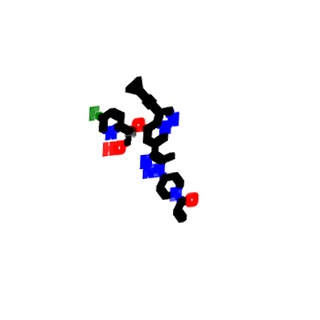 C=CC(=O)N1CCC(n2nnc(-c3cc(O[C@H](CO)c4ccc(F)cn4)c4c(C#CC5CC5)cnn4c3)c2C)CC1